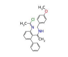 C=C(NCc1ccc(OC)cc1)c1c(/N=C(\C)Cl)cccc1-c1ccccc1